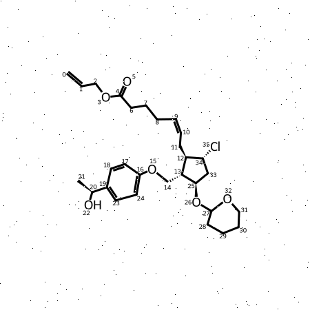 C=CCOC(=O)CCC/C=C\C[C@@H]1[C@@H](COc2ccc([C@H](C)O)cc2)[C@H](OC2CCCCO2)C[C@H]1Cl